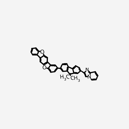 CC1(C)c2cc(-c3ccc4oc5cc6c(cc5c4c3)oc3ccccc36)ccc2-c2ccc(-c3cn4ccccc4n3)cc21